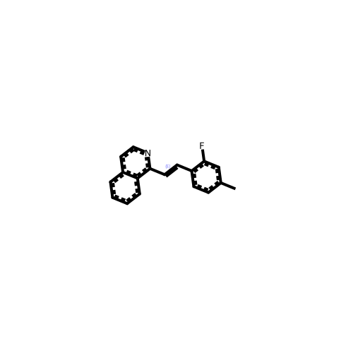 Cc1ccc(/C=C/c2nccc3ccccc23)c(F)c1